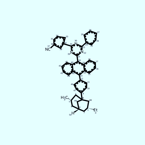 CC[C@@H]1C[C@@H]2C[C@H](C)CC(c3ccc(-c4c5ccccc5c(-c5nc(-c6ccccc6)nc(-c6cccc(C#N)c6)n5)c5ccccc45)cc3)(C1)C2